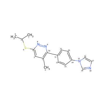 Cc1cc(SC(C)C)nnc1-c1ccc(-n2ccnc2)cc1